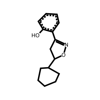 Oc1ccccc1C1=NOC(C2CCCCC2)C1